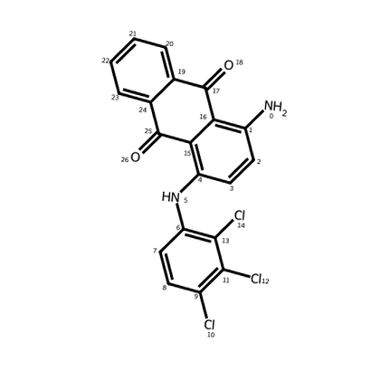 Nc1ccc(Nc2ccc(Cl)c(Cl)c2Cl)c2c1C(=O)c1ccccc1C2=O